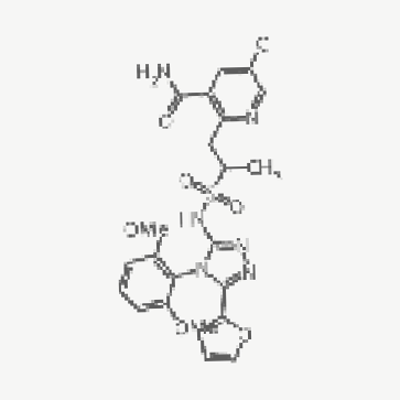 COc1cccc(OC)c1-n1c(NS(=O)(=O)C(C)Cc2ncc(Cl)cc2C(N)=O)nnc1-c1ccco1